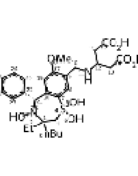 CCCC[C@]1(CC)CS(O)(O)c2cc(CNC(CC(=O)O)CC(=O)O)c(OC)cc2[C@@H](c2ccccc2)N1O